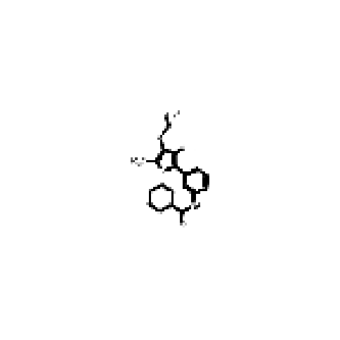 CC(=O)C(Nc1cccc(-c2sc(C(=O)O)c(OCC(=O)O)c2C)c1)C1CCCCC1